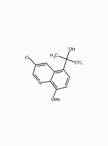 COc1ccc(C(C)(C)O)c2cc(Cl)cnc12